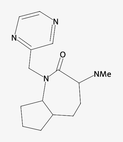 CNC1CCC2CCCC2N(Cc2cnccn2)C1=O